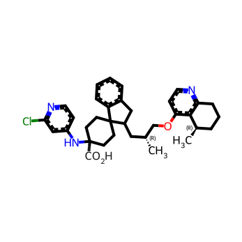 C[C@@H](COc1ccnc2c1[C@H](C)CCC2)CC1Cc2ccccc2C12CCC(Nc1ccnc(Cl)c1)(C(=O)O)CC2